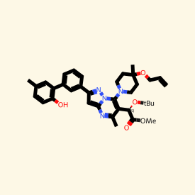 C=CCOC1(C)CCN(c2c([C@H](OC(C)(C)C)C(=O)OC)c(C)nc3cc(-c4cccc(-c5cc(C)ccc5O)c4)nn23)CC1